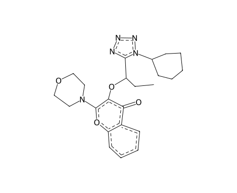 CCC(Oc1c(N2CCOCC2)oc2ccccc2c1=O)c1nnnn1C1CCCCC1